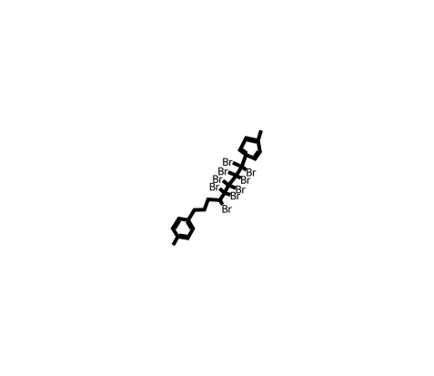 Cc1ccc(CCCC(Br)C(Br)(Br)C(Br)(Br)C(Br)(Br)C(Br)(Br)c2ccc(C)cc2)cc1